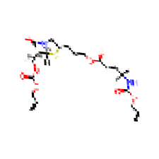 C=CCOC(=O)NC(C)(C)CCC(=O)OCCCC1CN2C(=O)[C@H]([C@@H](C)OC(=O)OCC=C)[C@H]2S1